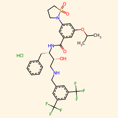 CC(C)Oc1cc(C(=O)N[C@@H](Cc2ccccc2)[C@H](O)CNCc2cc(C(F)(F)F)cc(C(F)(F)F)c2)cc(N2CCCS2(=O)=O)c1.Cl